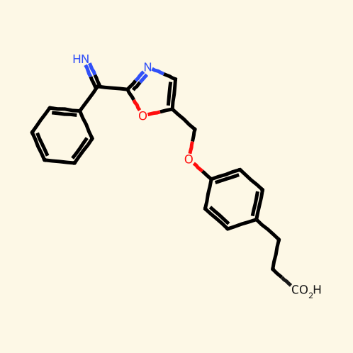 N=C(c1ccccc1)c1ncc(COc2ccc(CCC(=O)O)cc2)o1